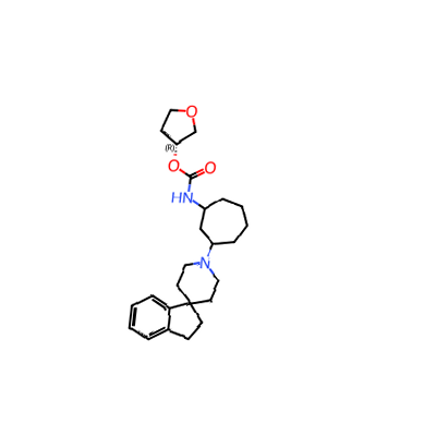 O=C(NC1CCCCC(N2CCC3(CCc4ccccc43)CC2)C1)O[C@@H]1CCOC1